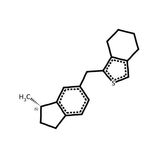 C[C@H]1CCc2ccc(Cc3scc4c3CCCC4)cc21